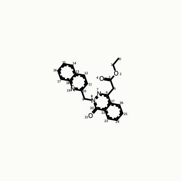 CCOC(=O)Cc1nn(Cc2ccc3ccccc3n2)c(=O)c2ccccc12